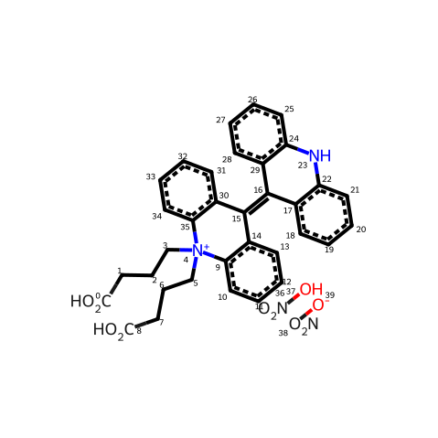 O=C(O)CCC[N+]1(CCCC(=O)O)c2ccccc2C(=C2c3ccccc3Nc3ccccc32)c2ccccc21.O=[N+]([O-])O.O=[N+]([O-])[O-]